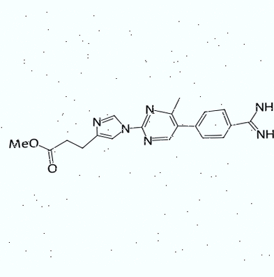 COC(=O)CCc1cn(-c2ncc(-c3ccc(C(=N)N)cc3)c(C)n2)cn1